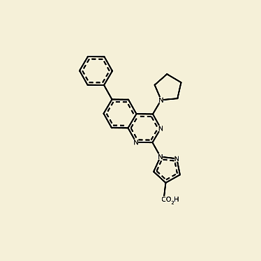 O=C(O)c1cnn(-c2nc(N3CCCC3)c3cc(-c4ccccc4)ccc3n2)c1